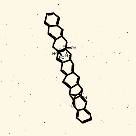 OC1C2c3cc4ccccc4cc3C(c3cc4cc5cc6c(cc5cc4cc32)C2c3cc4ccccc4cc3C6[C@H](O)[C@@H]2O)C1O